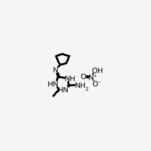 CCN/C(=N/C1CCCC1)NC(=N)N.O=[N+]([O-])O